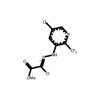 COC(=O)/C(Cl)=N/Nc1cc(Cl)cnc1C(F)(F)F